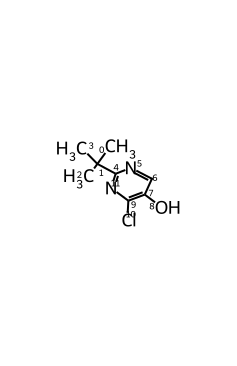 CC(C)(C)c1ncc(O)c(Cl)n1